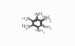 Bc1c(B)c(B)c(N)c(B)c1B